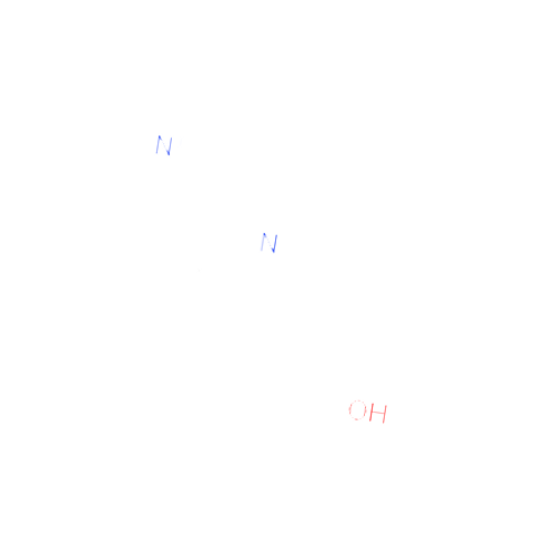 OCCN1[CH]C#[N+]CC1